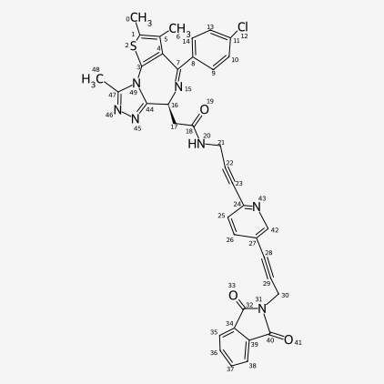 Cc1sc2c(c1C)C(c1ccc(Cl)cc1)=N[C@@H](CC(=O)NCC#Cc1ccc(C#CCN3C(=O)c4ccccc4C3=O)cn1)c1nnc(C)n1-2